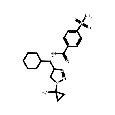 NC1(N2CC([C@@H](NC(=O)c3ccc(S(N)(=O)=O)cc3)C3CCCCC3)N=N2)CC1